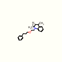 CC1CC(C)(C)N(CCOCCCc2ccccc2)c2ccccc21